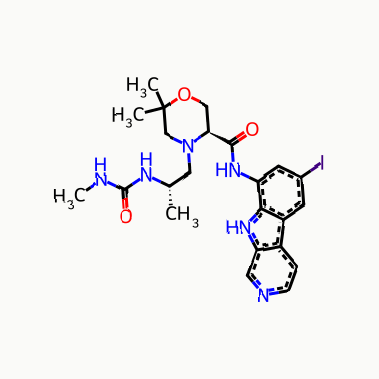 CNC(=O)N[C@@H](C)CN1CC(C)(C)OC[C@H]1C(=O)Nc1cc(I)cc2c1[nH]c1cnccc12